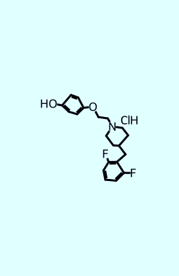 Cl.Oc1ccc(OCCN2CCC(Cc3c(F)cccc3F)CC2)cc1